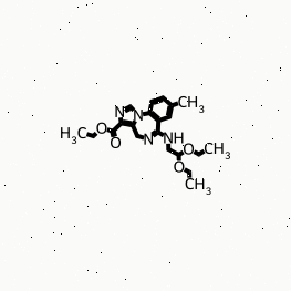 CCOC(=O)c1ncn2c1CN=C(NCC(OCC)OCC)c1cc(C)ccc1-2